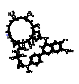 COc1cc2cc(-c3ccc(OC(C)C)cc3)nc(O[C@@H]3C[C@H]4C(=O)N[C@]5(C(=O)NS(=O)(=O)C6CC6)CC5/C=C\CC[C@H](C)C[C@@H](C)CC(=O)N4C3)c2cc1F